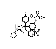 O=C(O)COc1cc([C@@](Cc2ccccc2)(NC(=O)NC2CCCC2)c2cc(F)cc(C(F)(F)F)c2)ccc1F